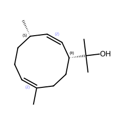 C/C1=C/CC[C@H](C)/C=C\[C@H](C(C)(C)O)CC1